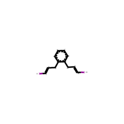 IC=CCc1ccccc1CC=CI